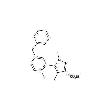 CCOC(=O)c1nn(C)c(-c2c[n+](Cc3ccccc3)ccc2C)c1C